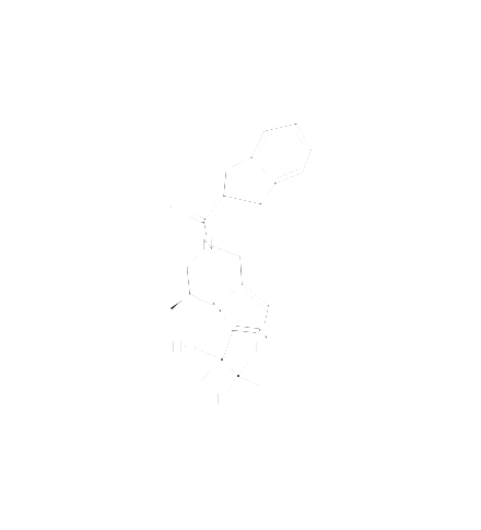 C[C@H]1CN(C(=O)C2Cc3ccccc3C2)Cc2cnc(C(C)(O)C(F)(F)F)n21